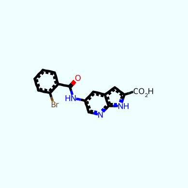 O=C(O)c1cc2cc(NC(=O)c3ccccc3Br)cnc2[nH]1